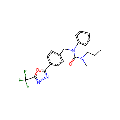 CCCN(C)C(=O)N(Cc1ccc(-c2nnc(C(F)(F)F)o2)cc1)c1ccccc1